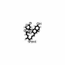 CCCC(C)C(CCCC1CC2(C)CCC(O)CC2CC1O)C(C)CCC(=O)OC1(C)CCOC(=O)C1